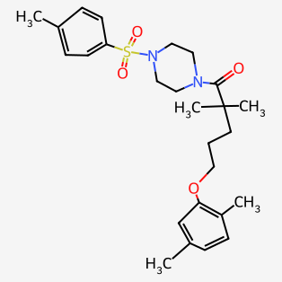 Cc1ccc(S(=O)(=O)N2CCN(C(=O)C(C)(C)CCCOc3cc(C)ccc3C)CC2)cc1